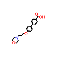 O=C(O)c1ccc(-c2ccc(OCCCN3CCOCC3)cc2)cc1